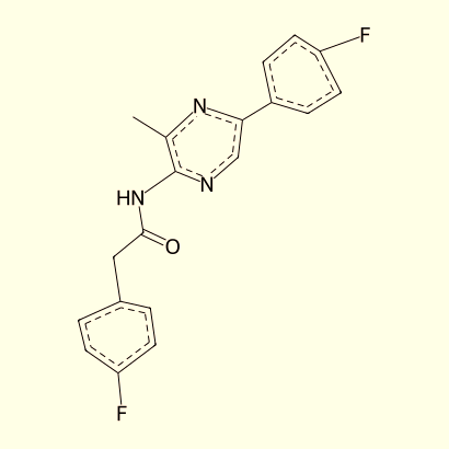 Cc1nc(-c2ccc(F)cc2)cnc1NC(=O)Cc1ccc(F)cc1